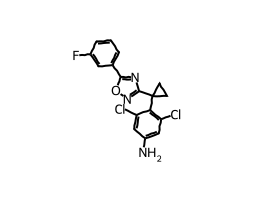 Nc1cc(Cl)c(C2(c3noc(-c4cccc(F)c4)n3)CC2)c(Cl)c1